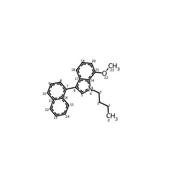 CCCCn1cc(-c2cccc3ccccc23)c2cccc(OC)c21